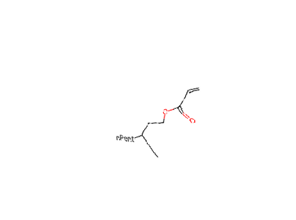 C=CC(=O)OCCC(C)CCCCC